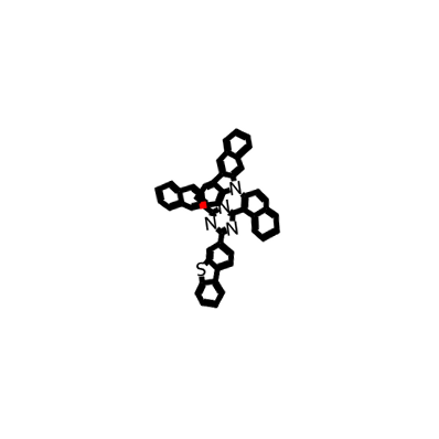 c1ccc2cc(-c3nc(-c4ccc5c(c4)sc4ccccc45)nc(-c4c(-n5c6ccccc6c6cc7ccccc7cc65)ccc5ccccc45)n3)ccc2c1